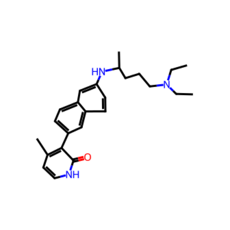 CCN(CC)CCCC(C)Nc1ccc2cc(-c3c(C)cc[nH]c3=O)ccc2c1